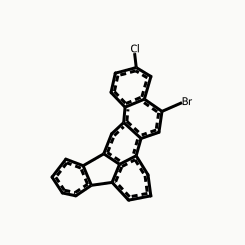 Clc1ccc2c(c1)c(Br)cc1c3cccc4c3c(cc21)-c1ccccc1-4